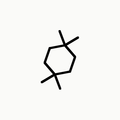 CC1(C)CCC(C)(C)CC1